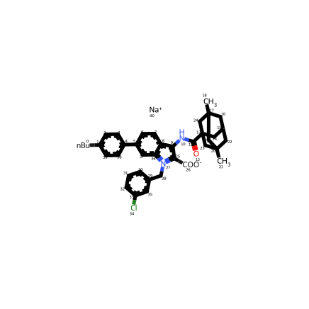 CCCCc1ccc(-c2ccc3c(NC(=O)C45CC6CC(C)(CC(C)(C6)C4)C5)c(C(=O)[O-])n(Cc4cccc(Cl)c4)c3c2)cc1.[Na+]